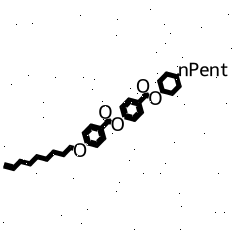 C=CCCCCCCCOc1ccc(C(=O)Oc2ccc(C(=O)O[C@H]3CC[C@H](CCCCC)CC3)cc2)cc1